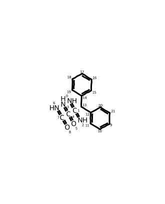 N=C=N.N=C=O.N=C=O.c1ccc(Cc2ccccc2)cc1